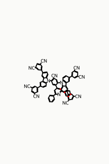 N#Cc1cc(C#N)cc(-c2ccc3c(c2)c2cc(-c4cc(C#N)cc(C#N)c4)ccc2n3-c2cc(-c3cc(-c4ccccc4)nc(-c4ccccc4)c3)c(-n3c4ccc(-c5cc(C#N)cc(C#N)c5)cc4c4cc(-c5cc(C#N)cc(C#N)c5)ccc43)cc2C#N)c1